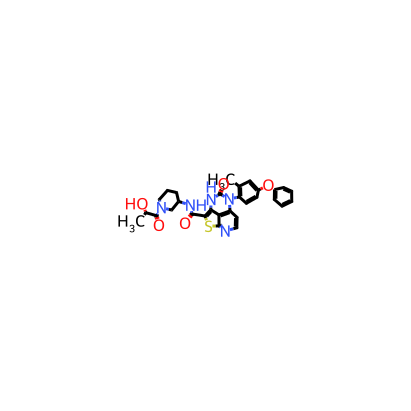 Cc1cc(Oc2ccccc2)ccc1N1C(=O)Nc2c(C(=O)NC3CCCN(C(=O)C(C)O)C3)sc3nccc1c23